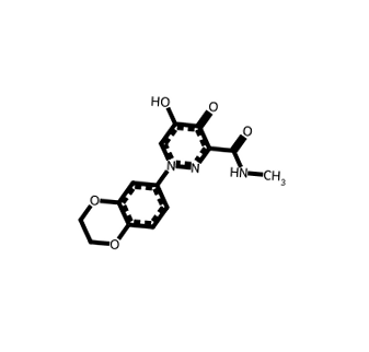 CNC(=O)c1nn(-c2ccc3c(c2)OCCO3)cc(O)c1=O